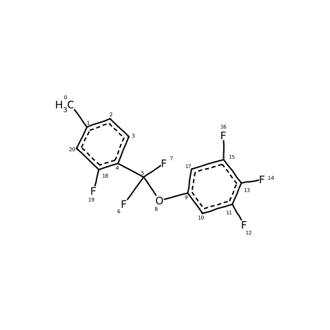 Cc1ccc(C(F)(F)Oc2cc(F)c(F)c(F)c2)c(F)c1